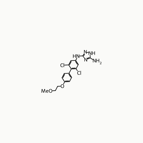 COCCOc1ccc(-c2c(Cl)cc(Nc3n[nH]c(N)n3)cc2Cl)cc1